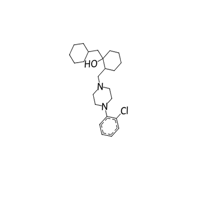 OC1(CC2CCCCC2)CCCCC1CN1CCN(c2ccccc2Cl)CC1